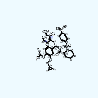 C=C/C(Cl)=C(C[C@H](OC(=O)[C@@H]1CCCCN1S(=O)(=O)c1ccc([N+](=O)[O-])cc1)c1ccc(OC(F)F)c(OCC2CC2)c1)\C(Cl)=C/C